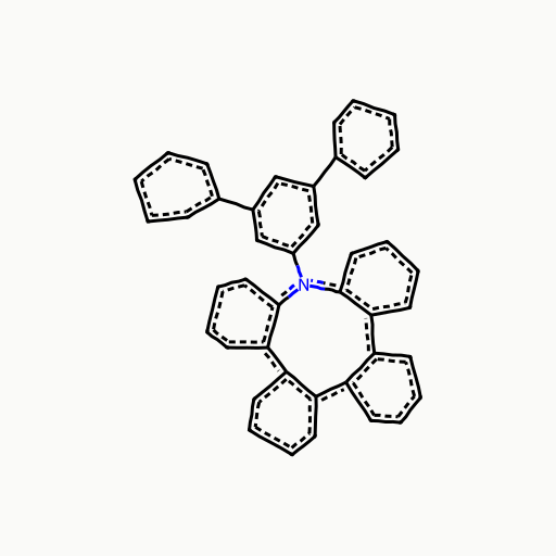 c1ccc(-c2cc(-c3ccccc3)cc(-n3c4ccccc4c4ccccc4c4ccccc4c4ccccc43)c2)cc1